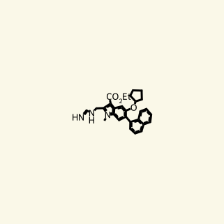 CCOC(=O)c1c(CNC=N)n(C)c2cc(-c3cccc4ccccc34)c(OC3CCCC3)cc12